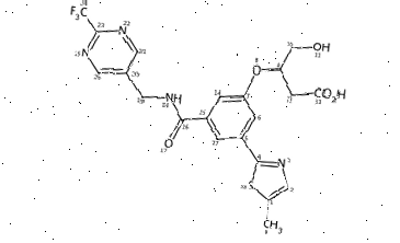 Cc1cnc(-c2cc(OC(CO)CC(=O)O)cc(C(=O)NCc3cnc(C(F)(F)F)nc3)c2)s1